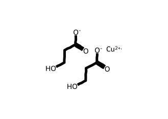 O=C([O-])CCO.O=C([O-])CCO.[Cu+2]